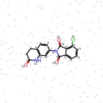 O=C1CCc2ccc(N3C(=O)c4cccc(Cl)c4C3=O)cc2N1